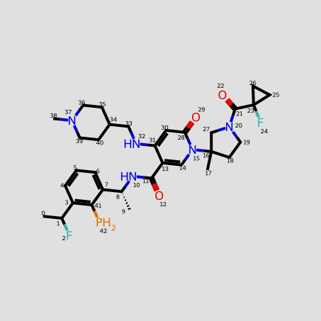 CC(F)c1cccc([C@@H](C)NC(=O)c2cn(C3(C)CCN(C(=O)C4(F)CC4)C3)c(=O)cc2NCC2CCN(C)CC2)c1P